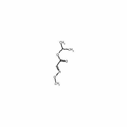 CON=CC(=O)OC(C)C